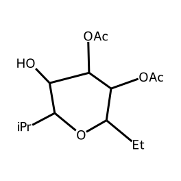 CCC1OC(C(C)C)C(O)C(OC(C)=O)C1OC(C)=O